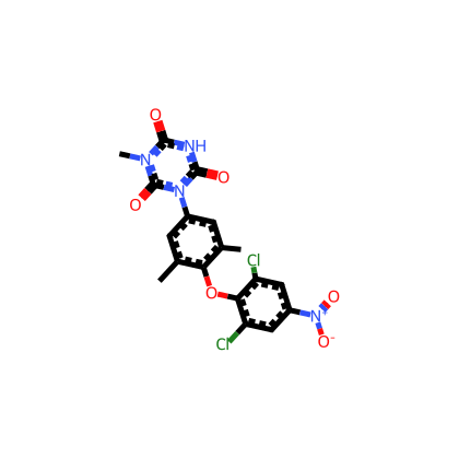 Cc1cc(-n2c(=O)[nH]c(=O)n(C)c2=O)cc(C)c1Oc1c(Cl)cc([N+](=O)[O-])cc1Cl